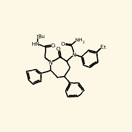 CCc1cccc(N(C(N)=O)C2CC(c3ccccc3)CC(c3ccccc3)N(CC(=O)NC(C)(C)C)C2=O)c1